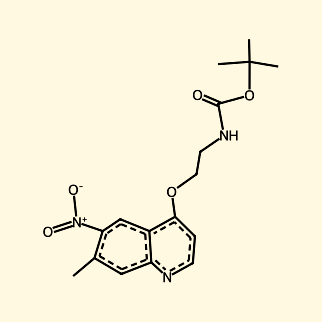 Cc1cc2nccc(OCCNC(=O)OC(C)(C)C)c2cc1[N+](=O)[O-]